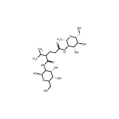 CC(C)C(CCC(=O)N[C@@H]1[C@@H](O)[C@H](O)[C@@H](CO)O[C@H]1C)C(=O)NC1[C@H](O)OC(CO)[C@@H](O)[C@H]1O